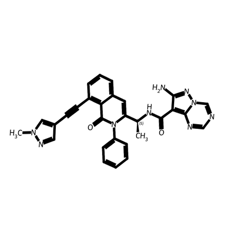 C[C@H](NC(=O)c1c(N)nn2cncnc12)c1cc2cccc(C#Cc3cnn(C)c3)c2c(=O)n1-c1ccccc1